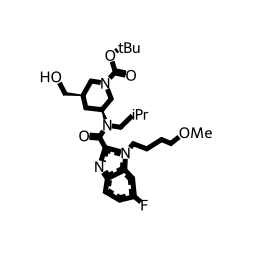 COCCCCn1c(C(=O)N(CC(C)C)[C@H]2C[C@@H](CO)CN(C(=O)OC(C)(C)C)C2)nc2ccc(F)cc21